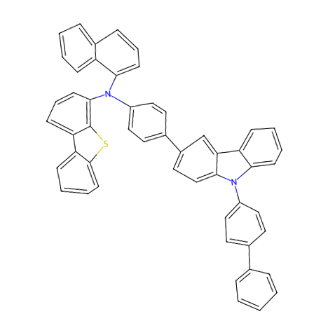 c1ccc(-c2ccc(-n3c4ccccc4c4cc(-c5ccc(N(c6cccc7ccccc67)c6cccc7c6sc6ccccc67)cc5)ccc43)cc2)cc1